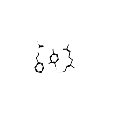 CC(C)=CCCC(C)=CCO.CCC(=O)OCCc1ccccc1.Cc1ccc(C(C)C)c(O)c1